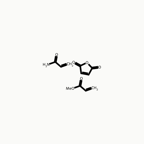 C=CC(=O)OC.C=CC(N)=O.O=C1C=CC(=O)O1